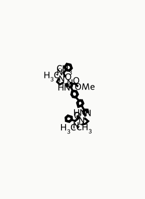 COC(=O)c1nc([C@@H]2CCCN2C(=O)[C@@H](c2ccccc2)N(C)C)[nH]c1-c1ccc(-c2ccc(-c3cnc([C@@H]4CCCN4C(=O)C(c4ccccc4)N(C)C)[nH]3)cc2)cc1